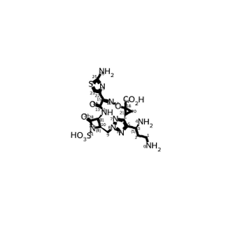 NCC[C@H](N)c1cnn(C[C@@H]2[C@H](NC(=O)C(=NOC3(C(=O)O)CC3)c3csc(N)n3)C(=O)N2S(=O)(=O)O)n1